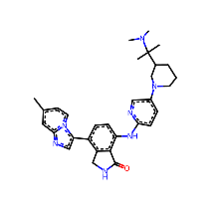 Cc1ccn2c(-c3ccc(Nc4ccc(N5CCCC(C(C)(C)N(C)C)C5)cn4)c4c3CNC4=O)cnc2c1